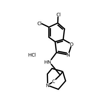 Cl.Clc1cc2onc(NC3CN4CCC3CC4)c2cc1Cl